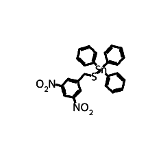 O=[N+]([O-])c1cc(C[S][Sn]([c]2ccccc2)([c]2ccccc2)[c]2ccccc2)cc([N+](=O)[O-])c1